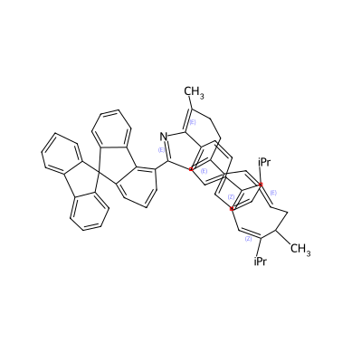 C\C1=C(c2ccc(C3=C/C=C(/C(C)C)C(C)C\C=C\3C(C)C)cc2)/N=C(c2cccc3c2-c2ccccc2C32c3ccccc3-c3ccccc32)\C=C(\c2ccccc2)CC1